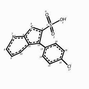 O=S(=O)(O)c1sc2ncccc2c1-c1ccc(Cl)cc1